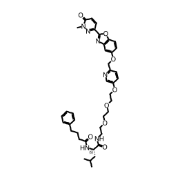 CC(C)C[C@H](NC(=O)CCCc1ccccc1)C(=O)NCCOCCOCCOc1ccc(COc2ccc3oc(-c4ccc(=O)n(C)n4)nc3c2)nc1